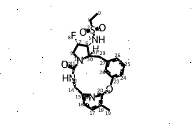 CCS(=O)(=O)N[C@H]1[C@@H](F)CN2C(=O)NCc3ccc(C)c(n3)Oc3cccc(c3)C[C@@H]12